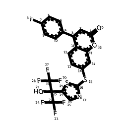 O=c1cc(-c2ccc(F)cc2)c2ccc(Sc3ncc(C(O)(C(F)(F)F)C(F)(F)F)s3)cc2o1